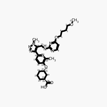 COCCCCOc1ccnc(NCc2c(-c3ccc(O[C@H]4CCC[C@H](C(=O)O)C4)c(C)n3)nnn2C)n1